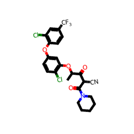 CC(Oc1cc(Oc2ccc(C(F)(F)F)cc2Cl)ccc1Cl)C(=O)C(C#N)C(=O)N1CCCCC1